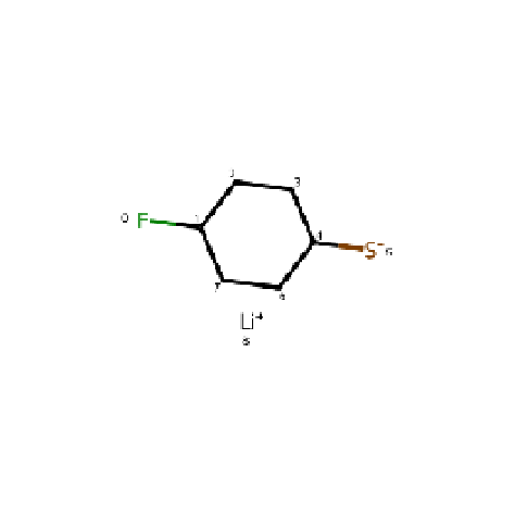 FC1CCC([S-])CC1.[Li+]